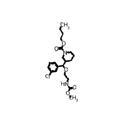 CCCCOC(=O)N1CCCC(C(OCCNC(=O)OC)c2cccc(Cl)c2)C1